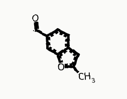 Cc1cc2ccc([C]=O)cc2o1